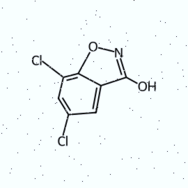 Oc1noc2c(Cl)cc(Cl)cc12